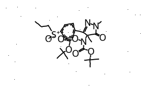 CCC[S+]([O-])c1ccc(C2=NN(C)C(=O)C2(C)N(OC(=O)OC(C)(C)C)C(=O)OC(C)(C)C)cc1